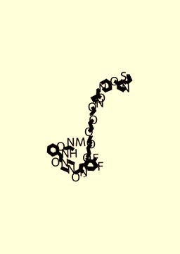 CN[C@@H](C)C(=O)N[C@H](C(=O)N1CCN(C(=O)c2cc3c(OCCOCCOCCOCCOc4cc(CN5CCC(Oc6ccnc7ccsc67)CC5)on4)c(F)c(F)cc3n2C)CC1)C1CCCCC1